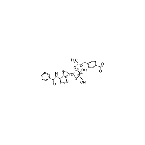 CC(OCc1ccc([N+](=O)[O-])cc1)O[C@@H]1[C@H](O)[C@@H](CO)O[C@H]1n1cnc2c(NC(=O)c3ccccc3)ncnc21